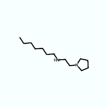 CCCCCC[CH]NCCN1CCCC1